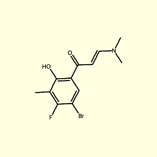 Cc1c(O)c(C(=O)C=CN(C)C)cc(Br)c1F